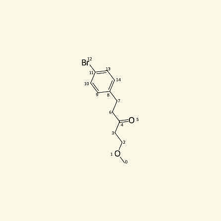 COCCC(=O)CCc1ccc(Br)cc1